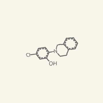 Oc1cc(Cl)ccc1N1CCc2ccccc2C1